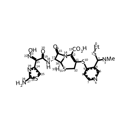 CCSC(NC)c1cnccc1SC1=C(C(=O)O)N2C(=O)[C@@H](NC(=O)/C(=N\O)c3csc(N)n3)[C@@H]2SC1